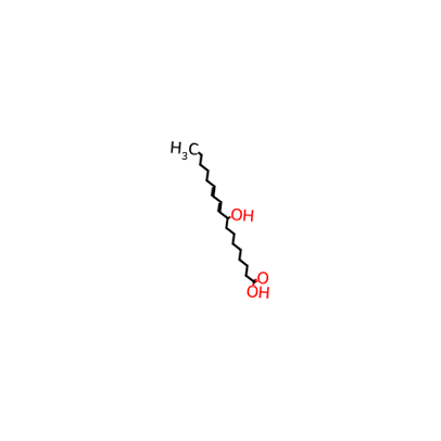 CCCCCC=C/C=C/C(O)CCCCCCCC(=O)O